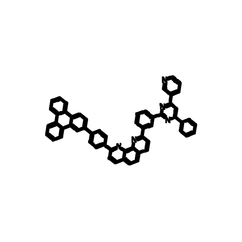 c1ccc(-c2cc(-c3cccnc3)nc(-c3cccc(-c4ccc5ccc6ccc(-c7ccc(-c8ccc9c%10ccccc%10c%10ccccc%10c9c8)cc7)nc6c5n4)c3)n2)cc1